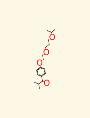 CC(C)OCCCOCCOc1ccc(C(=O)C(C)C)cc1